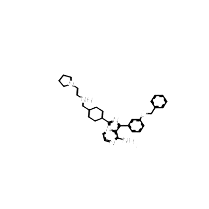 Nc1nccn2c(C3CCC(CNCCN4CCCC4)CC3)nc(-c3cccc(OCc4ccccc4)c3)c12